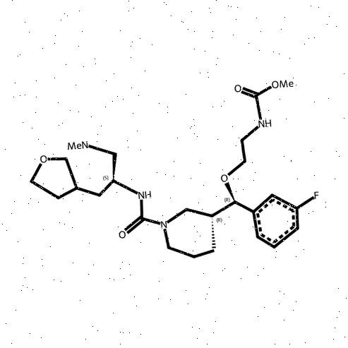 CNC[C@H](CC1CCOC1)NC(=O)N1CCC[C@@H]([C@@H](OCCNC(=O)OC)c2cccc(F)c2)C1